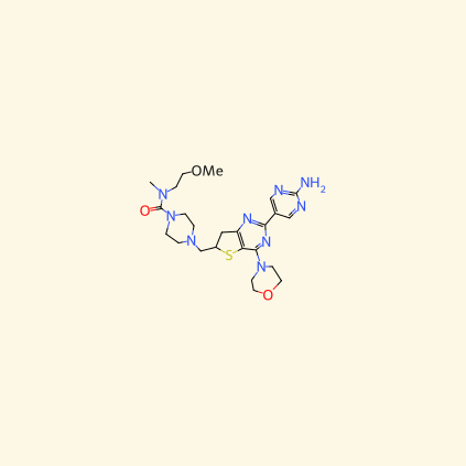 COCCN(C)C(=O)N1CCN(CC2Cc3nc(-c4cnc(N)nc4)nc(N4CCOCC4)c3S2)CC1